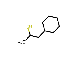 [CH2]C(S)CC1CCCCC1